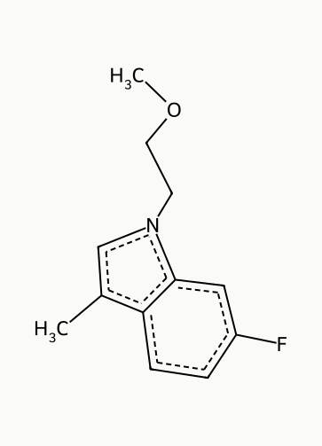 COCCn1cc(C)c2ccc(F)cc21